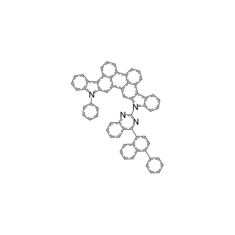 c1ccc(-c2ccc(-c3nc(-n4c5ccccc5c5c6cccc7c8cccc9c8c(cc8c9c9ccccc9n8-c8ccccc8)c(cc54)c76)nc4ccccc34)c3ccccc23)cc1